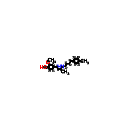 COc1cc(CCC(C)NCCCCc2ccc(C)cc2)ccc1O